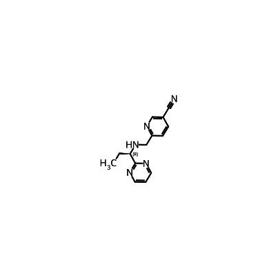 CC[C@@H](NCc1ccc(C#N)cn1)c1ncccn1